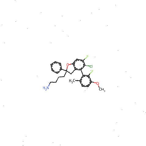 COc1ccc(C)c(-c2c(Cl)c(F)cc3c2CC(CCCCN)(c2ccccc2)O3)c1F